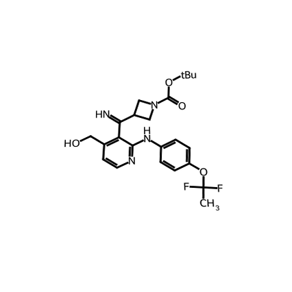 CC(C)(C)OC(=O)N1CC(C(=N)c2c(CO)ccnc2Nc2ccc(OC(C)(F)F)cc2)C1